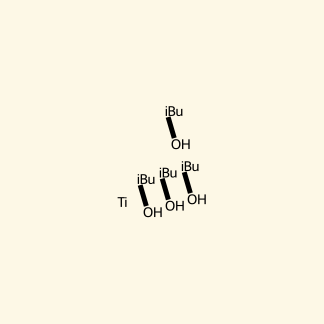 CCC(C)O.CCC(C)O.CCC(C)O.CCC(C)O.[Ti]